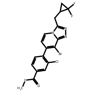 COC(=O)c1ccc(-c2ccn3c(CC4CC4(F)F)nnc3c2Br)c(Cl)c1